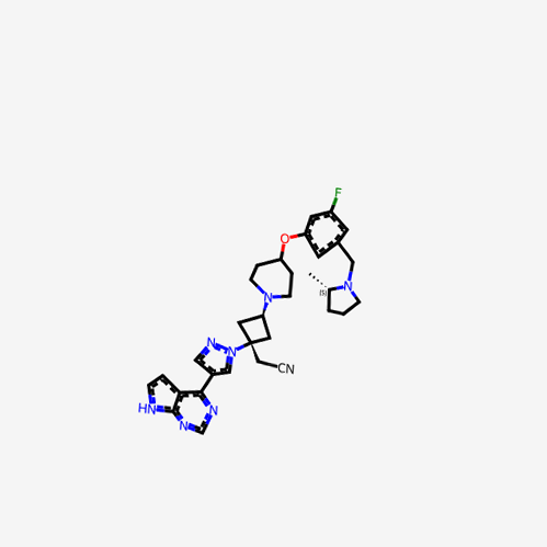 C[C@H]1CCCN1Cc1cc(F)cc(OC2CCN([C@H]3C[C@](CC#N)(n4cc(-c5ncnc6[nH]ccc56)cn4)C3)CC2)c1